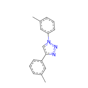 Cc1cccc(-c2cn(-c3cccc(C)c3)nn2)c1